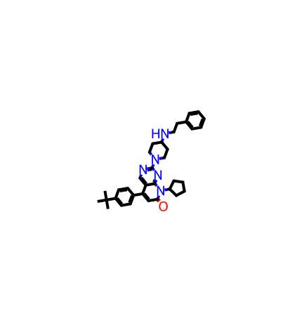 CC(C)(C)c1ccc(-c2cc(=O)n(C3CCCC3)c3nc(N4CCC(NCCc5ccccc5)CC4)ncc23)cc1